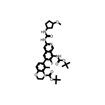 COC1CCC(NC(=O)Nc2cc3cc(-c4ccc5c(c4C)N(C(=O)OC(C)(C)C)CCO5)c(F)c(NC(=O)OC(C)(C)C)c3cn2)C1